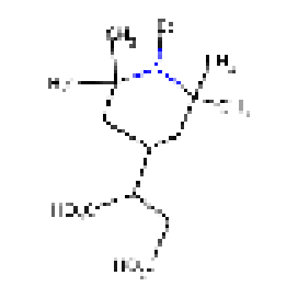 CCN1C(C)(C)CC(C(CC(=O)O)C(=O)O)CC1(C)C